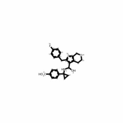 O=C(O)c1ccc(C2(NC(O)c3c(Cc4ccc(F)cc4)sc4c3CCOC4)CC2)cc1